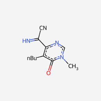 CCCCc1c(C(=N)C#N)ncn(C)c1=O